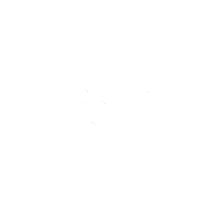 O=C1C(=NC(Cl)C(Cl)(Cl)Cl)N(c2cccc(C(F)(F)F)c2)C(=O)N1C1CCCCC1